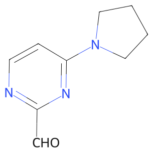 O=Cc1nccc(N2CCCC2)n1